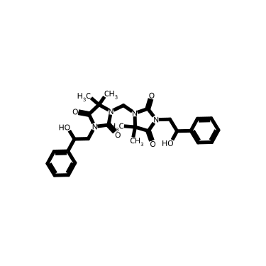 CC1(C)C(=O)N(CC(O)c2ccccc2)C(=O)N1CN1C(=O)N(CC(O)c2ccccc2)C(=O)C1(C)C